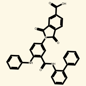 O=C(O)c1ccc2c(c1)C(=O)N(c1ccc(Nc3ccccc3)c(C(=O)Nc3ccccc3-c3ccccc3)c1)C2=O